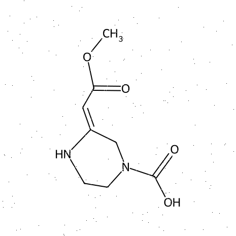 COC(=O)C=C1CN(C(=O)O)CCN1